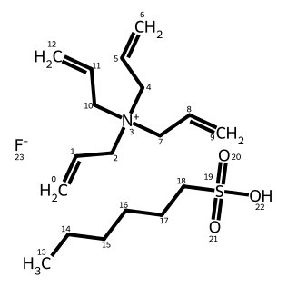 C=CC[N+](CC=C)(CC=C)CC=C.CCCCCCS(=O)(=O)O.[F-]